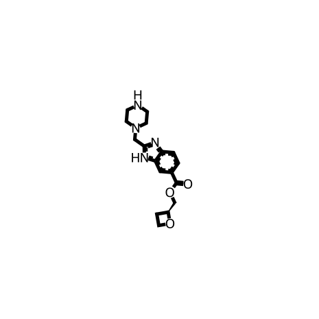 O=C(OC[C@@H]1CCO1)c1ccc2nc(CN3CCNCC3)[nH]c2c1